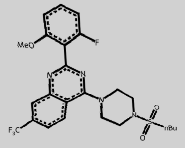 CCCCS(=O)(=O)N1CCN(c2nc(-c3c(F)cccc3OC)nc3cc(C(F)(F)F)ccc23)CC1